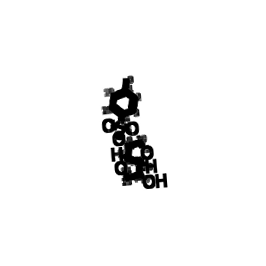 Cc1ccc(S(=O)(=O)O[C@@H]2CO[C@H]3[C@@H]2OC[C@@H]3O)cc1